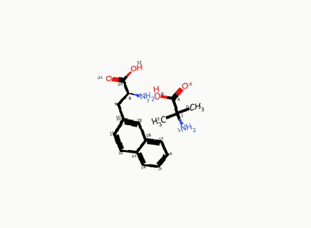 CC(C)(N)C(=O)O.N[C@@H](Cc1ccc2ccccc2c1)C(=O)O